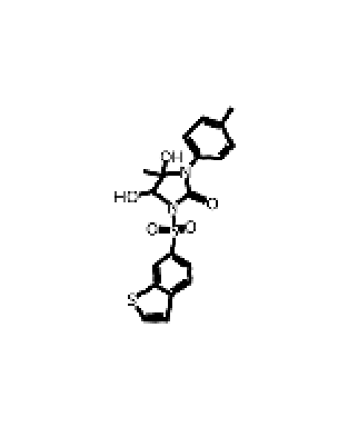 Cc1ccc(N2C(=O)N(S(=O)(=O)c3ccc4ccsc4c3)C(O)C2(C)O)cc1